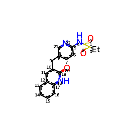 CCS(=O)(=O)Nc1ccc(Cc2cc3ccccc3[nH]c2=O)cn1